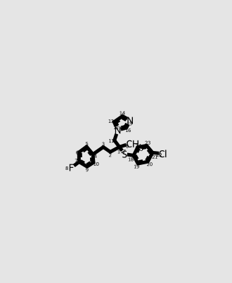 CC(CCc1ccc(F)cc1)(Cn1ccnc1)Sc1ccc(Cl)cc1